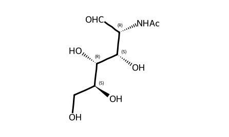 CC(=O)N[C@@H](C=O)[C@H](O)[C@@H](O)[C@@H](O)CO